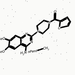 CCCCCC.COc1cc2nc(N3CCN(C(=O)c4ccco4)CC3)nc(N)c2cc1OC